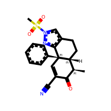 C[C@H]1C(=O)C(C#N)=C[C@]2(c3ccccc3)c3nn(S(C)(=O)=O)cc3CC[C@H]12